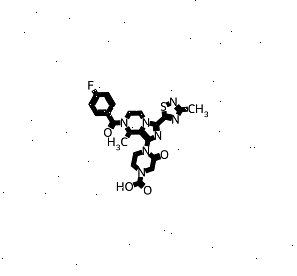 Cc1nsc(-c2nc(N3CCN(C(=O)O)CC3=O)c3n2CCN(C(=O)c2ccc(F)cc2)C3C)n1